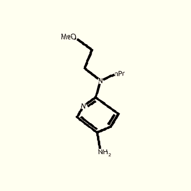 CCCN(CCOC)c1ccc(N)cn1